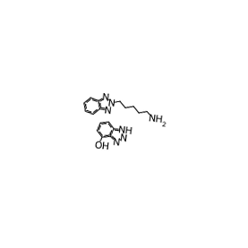 NCCCCCn1nc2ccccc2n1.Oc1cccc2[nH]nnc12